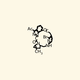 CC(=O)c1nn2c3c(cccc13)OCCc1ccc(nc1Br)NCC1CC3(C)CC3N1C(=O)C2